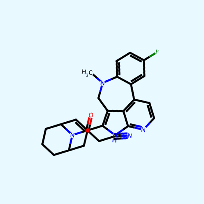 CN1Cc2c(C3=CC4CCCC(C3)N4C(=O)CC#N)[nH]c3nccc(c23)-c2cc(F)ccc21